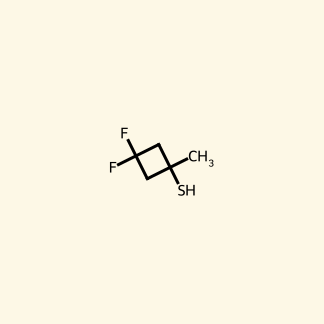 CC1(S)CC(F)(F)C1